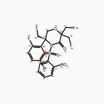 O=C1N(S(=O)(=O)c2ccccc2[N+](=O)[O-])[C@](CF)(c2cc(Br)ccc2F)COC1(CF)CF